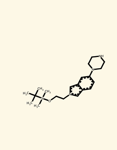 CC(C)(C)[Si](C)(C)OCCn1cc2ccc(N3CCNCC3)cc2c1